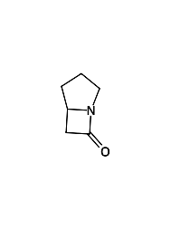 O=C1CC2CCCN12